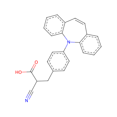 N#CC(Cc1ccc(N2c3ccccc3C=Cc3ccccc32)cc1)C(=O)O